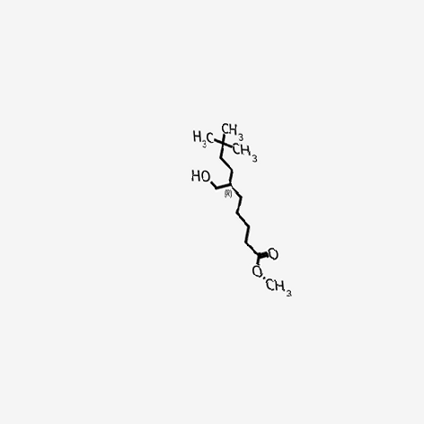 COC(=O)CCCC[C@@H](CO)CCC(C)(C)C